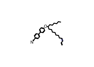 C=C/C=C\CCCCCCCC(CCCCCC)Oc1ccc(-c2ccc(C#N)cc2)cc1